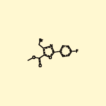 COC(=O)c1oc(-c2ccc(F)cc2)nc1CBr